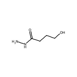 NNC(=O)CCCO